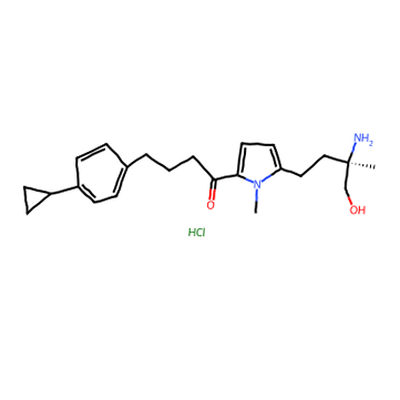 Cl.Cn1c(CC[C@@](C)(N)CO)ccc1C(=O)CCCc1ccc(C2CC2)cc1